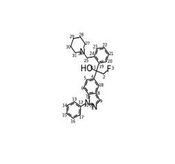 OC(CF)(c1ccc2c(cnn2-c2ccccc2)c1)c1ccccc1CN1CCCCC1